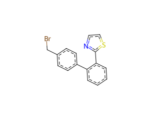 BrCc1ccc(-c2ccccc2-c2nccs2)cc1